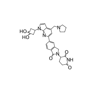 O=C1CCC(N2Cc3cc(-c4cc(CN5CCCC5)c5ccn(C6CS(O)(O)C6)c5n4)ccc3C2=O)C(=O)N1